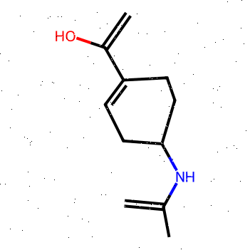 C=C(C)NC1CC=C(C(=C)O)CC1